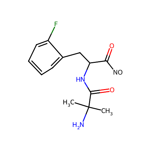 CC(C)(N)C(=O)NC(Cc1ccccc1F)C(=O)N=O